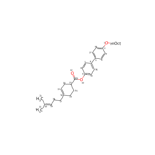 CCCCCCCCOc1ccc(-c2ccc(OC(=O)C3CC=C(CCC=C(C)C)CC3)cc2)cc1